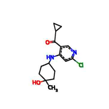 CC1(O)CCC(Nc2cc(Cl)ncc2C(=O)C2CC2)CC1